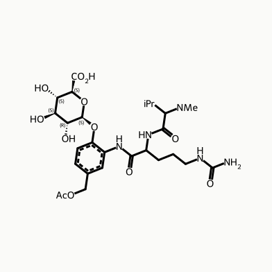 CNC(C(=O)NC(CCCNC(N)=O)C(=O)Nc1cc(COC(C)=O)ccc1O[C@@H]1O[C@H](C(=O)O)[C@@H](O)[C@H](O)[C@H]1O)C(C)C